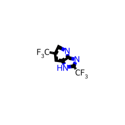 FC(F)(F)c1cnc2nc(C(F)(F)F)[nH]c2c1